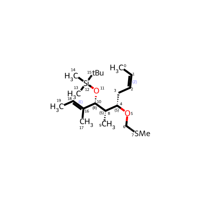 C/C=C\C[C@H](OCSC)[C@H](C)[C@@H](O[Si](C)(C)C(C)(C)C)/C(C)=C/C